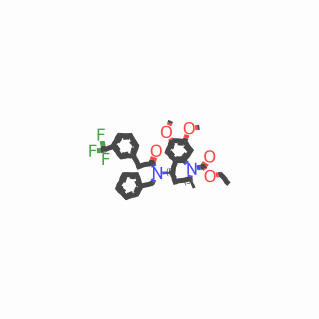 CCOC(=O)N1c2cc(OC)c(OC)cc2[C@H](N(Cc2ccccc2)C(=O)Cc2cccc(C(F)(F)F)c2)C[C@@H]1C